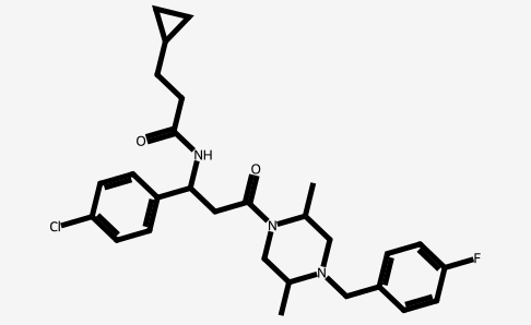 CC1CN(C(=O)CC(NC(=O)CCC2CC2)c2ccc(Cl)cc2)C(C)CN1Cc1ccc(F)cc1